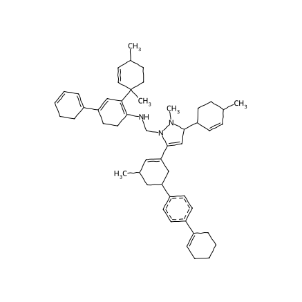 CC1C=CC(C2C=C(C3=CC(C)CC(c4ccc(C5=CCCCC5)cc4)C3)N(CNC3=C(C4(C)C=CC(C)CC4)C=C(C4=CC=CCC4)CC3)N2C)CC1